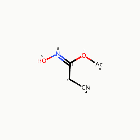 CC(=O)O/C(CC#N)=N/O